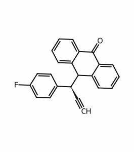 C#C[C@@H](c1ccc(F)cc1)C1c2ccccc2C(=O)c2ccccc21